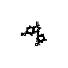 Oc1ccc2[nH]nc(-c3cc(Cl)ncn3)c2c1